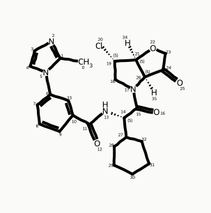 Cc1nccn1-c1cccc(C(=O)N[C@H](C(=O)N2C[C@H](Cl)[C@H]3OCC(=O)[C@H]32)C2CCCCC2)c1